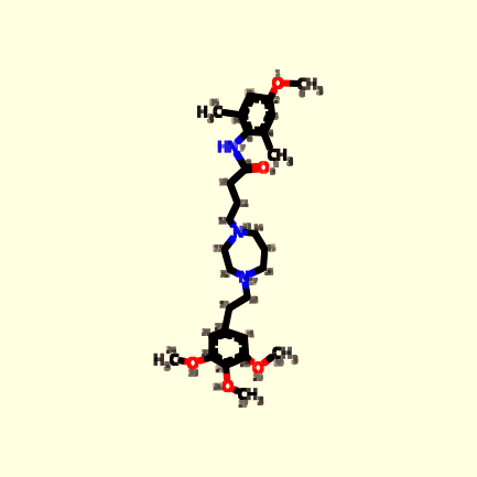 COc1cc(C)c(NC(=O)CCCN2CCCN(CCc3cc(OC)c(OC)c(OC)c3)CC2)c(C)c1